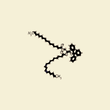 CCCCC/C=C\C/C=C\CCCCCCCC(=O)O[C@H](COC(=O)CCCCCCCCCCCCCCC)COC(c1ccccc1)(c1ccccc1)c1ccccc1